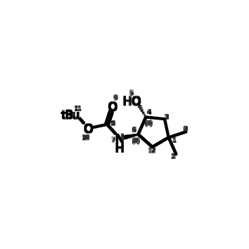 CC1(C)C[C@@H](O)[C@H](NC(=O)OC(C)(C)C)C1